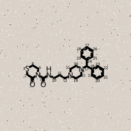 O=C1CSCCN1C(=O)NCCCN1CCN(C(c2ccccc2)c2ccccc2)CC1